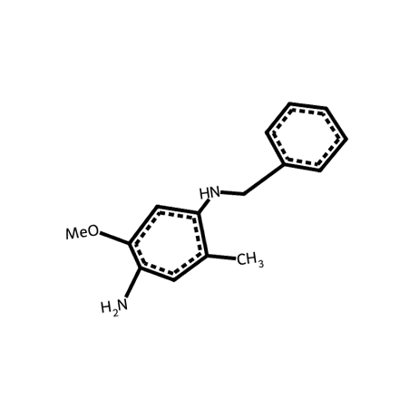 COc1cc(NCc2ccccc2)c(C)cc1N